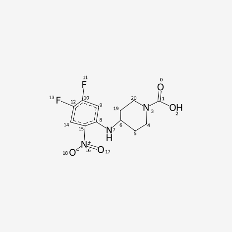 O=C(O)N1CCC(Nc2cc(F)c(F)cc2[N+](=O)[O-])CC1